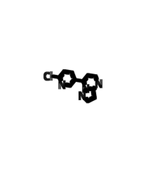 Clc1ccc(-c2ccnc3ccnn23)cn1